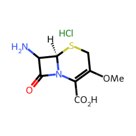 COC1=C(C(=O)O)N2C(=O)C(N)[C@H]2SC1.Cl